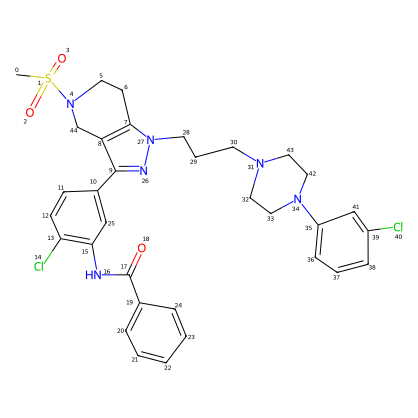 CS(=O)(=O)N1CCc2c(c(-c3ccc(Cl)c(NC(=O)c4ccccc4)c3)nn2CCCN2CCN(c3cccc(Cl)c3)CC2)C1